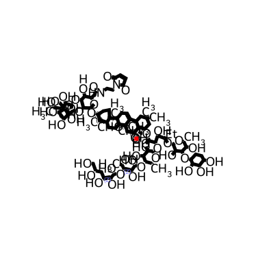 CCC(OC1OC(C)C(O)C(OC2CCC(O)C(O)C2O)C1O)C(O)C(OC1OC(C)C(OC(O)/C(O)=C(/OC(O)/C(O)=C(/O)CC(O)CO)C(C)O)C(O)C1O)C(O)OC(=O)[C@]12CCC(C)(C)CC1C1=CCC3[C@@]4(C)CC[C@H](OC5OC(C(=O)NCCN6C(=O)C=CC6=O)C(O)C(OC(O)C(O)C(O)C(C)O)C5OC5OC6(CO)C(O)C(O)C56O)[C@@](C)(C=O)C4CC[C@@]3(C)[C@]1(C)C[C@H]2O